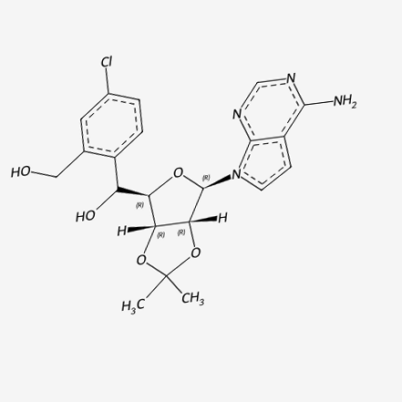 CC1(C)O[C@@H]2[C@H](O1)[C@@H](C(O)c1ccc(Cl)cc1CO)O[C@H]2n1ccc2c(N)ncnc21